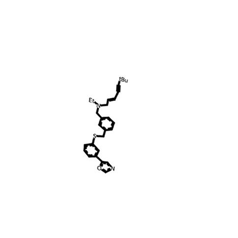 CCN(CC=CC#CC(C)(C)C)Cc1cccc(CSc2cccc(-c3cnco3)c2)c1